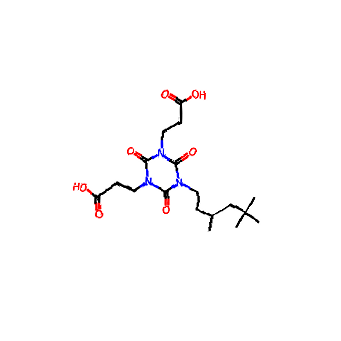 CC(CCn1c(=O)n(CCC(=O)O)c(=O)n(CCC(=O)O)c1=O)CC(C)(C)C